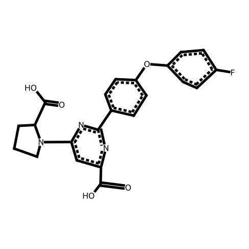 O=C(O)c1cc(N2CCCC2C(=O)O)nc(-c2ccc(Oc3ccc(F)cc3)cc2)n1